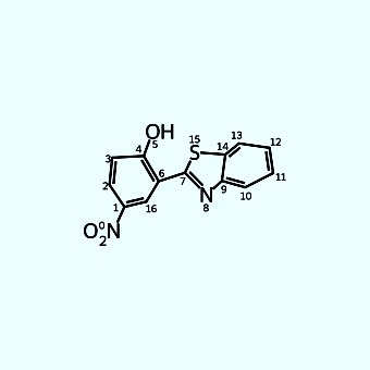 O=[N+]([O-])c1ccc(O)c(-c2nc3ccccc3s2)c1